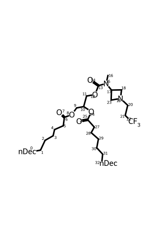 CCCCCCCCCCCCCCCC(=O)OCC(COC(=O)N(C)C1CN(CCC(F)(F)F)C1)OC(=O)CCCCCCCCCCCCCCC